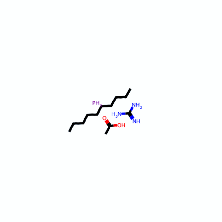 CC(=O)O.CCCCCCCCCC.N=C(N)N.P